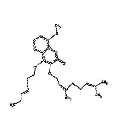 CCC=CCCOc1c(OCC=C(C)CCC=C(C)C)c(=O)oc2c(OC)cccc12